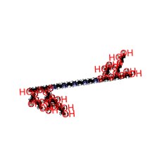 OCC(O)COCC(O)COC(COCC(O)CO)COCC(CO/C=C/CC/C=C/CC/C=C/CC/C=C/CC/C=C/OCC(COCC(CO)OCC(CO)OCC(O)CO)OCC(COCC(O)CO)OCC(O)COCC(O)CO)OCC(O)CO